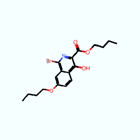 CCCCOC(=O)c1nc(Br)c2cc(OCCCC)ccc2c1O